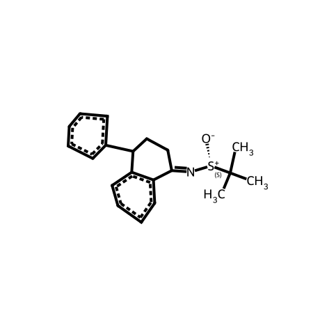 CC(C)(C)[S@@+]([O-])N=C1CCC(c2ccccc2)c2ccccc21